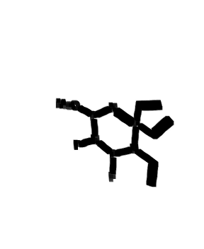 C=CN1P(F)N(F)P(OC)N=P1(C=C)C=C